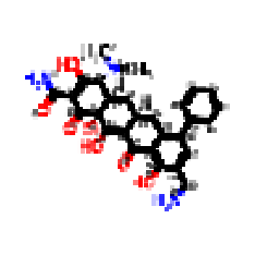 CN(C)[C@H]1C(O)=C(C(N)=O)C(=O)[C@]2(O)C(O)=C3C(=O)c4c(O)c(CN)cc(-c5ccccc5)c4C[C@@H]3C[C@H]12